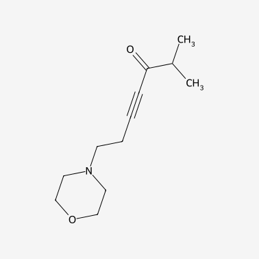 CC(C)C(=O)C#CCCN1CCOCC1